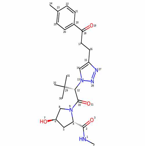 CNC(=O)[C@@H]1C[C@@H](O)CN1C(=O)[C@@H](n1cc(CCC(=O)c2ccc(C)cc2)nn1)C(C)(C)C